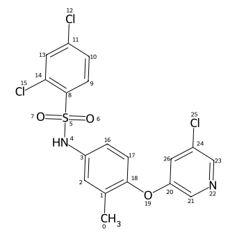 Cc1cc(NS(=O)(=O)c2ccc(Cl)cc2Cl)ccc1Oc1cncc(Cl)c1